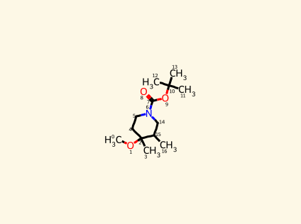 COC1(C)CCN(C(=O)OC(C)(C)C)CC1C